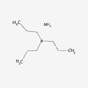 CCCB(CCC)CCC.N